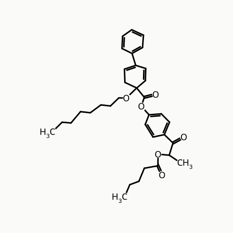 CCCCCCCCOC1(C(=O)Oc2ccc(C(=O)C(C)OC(=O)CCCC)cc2)C=CC(c2ccccc2)=CC1